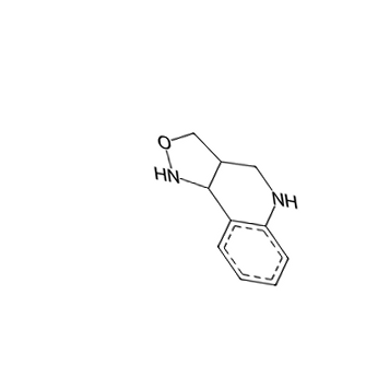 c1ccc2c(c1)NCC1CONC21